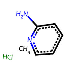 C.Cl.Nc1ccccn1